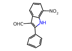 O=Cc1c(-c2ccccc2)[nH]c2c([N+](=O)[O-])cccc12